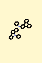 c1ccc(N(c2ccc3c(ccc4c5ccccc5n(-c5ccccc5)c34)c2)c2ccc3c4ccccc4c4ccccc4c3c2)cc1